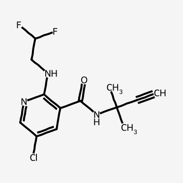 C#CC(C)(C)NC(=O)c1cc(Cl)cnc1NCC(F)F